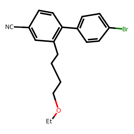 CCOCCCCc1cc(C#N)ccc1-c1ccc(Br)cc1